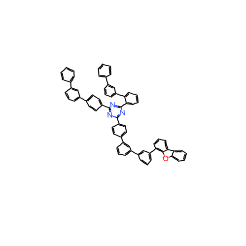 c1ccc(-c2cccc(-c3ccc(-c4nc(-c5ccc(-c6cccc(-c7cccc(-c8cccc9c8oc8ccccc89)c7)c6)cc5)nc(-c5ccccc5-c5cccc(-c6ccccc6)c5)n4)cc3)c2)cc1